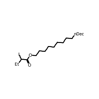 CCCCCCCCCCCCCCCCCCCOC(=O)C(I)CC